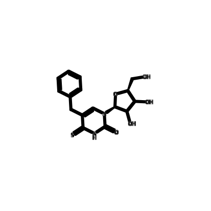 O=c1[nH]c(=S)c(Cc2ccccc2)cn1[C@H]1O[C@@H](CO)C(O)C1O